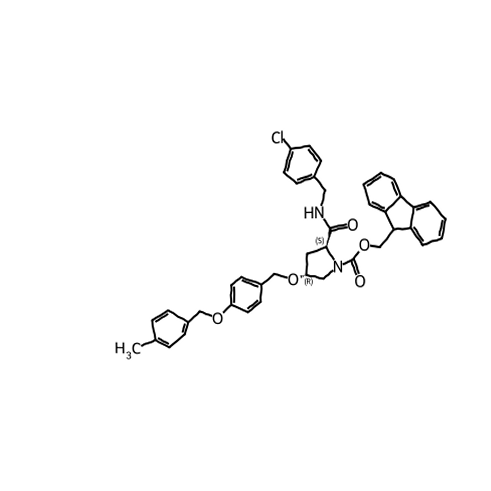 Cc1ccc(COc2ccc(CO[C@@H]3C[C@@H](C(=O)NCc4ccc(Cl)cc4)N(C(=O)OCC4c5ccccc5-c5ccccc54)C3)cc2)cc1